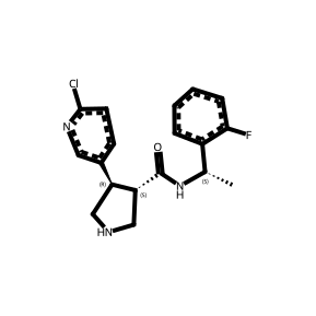 C[C@H](NC(=O)[C@@H]1CNC[C@H]1c1ccc(Cl)nc1)c1ccccc1F